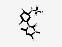 CCS(=O)(=O)Nc1cc(-n2c(=O)cc(C(F)(F)F)n(C)c2=O)c(F)cc1Br